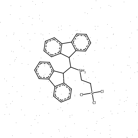 Cl[Si](Cl)(Cl)CC[SiH2]C(C1c2ccccc2-c2ccccc21)C1c2ccccc2-c2ccccc21